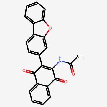 CC(=O)NC1=C(c2ccc3c(c2)oc2ccccc23)C(=O)c2ccccc2C1=O